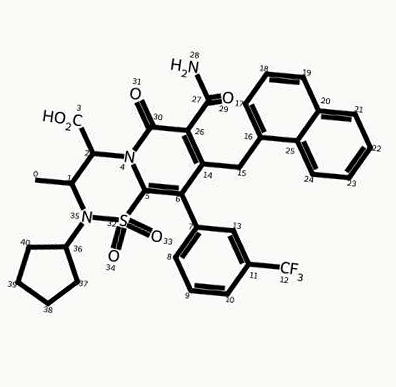 CC1C(C(=O)O)n2c(c(-c3cccc(C(F)(F)F)c3)c(Cc3cccc4ccccc34)c(C(N)=O)c2=O)S(=O)(=O)N1C1CCCC1